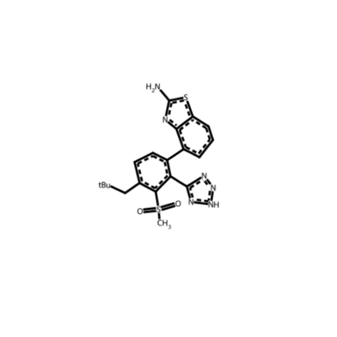 CC(C)(C)Cc1ccc(-c2cccc3sc(N)nc23)c(-c2nn[nH]n2)c1S(C)(=O)=O